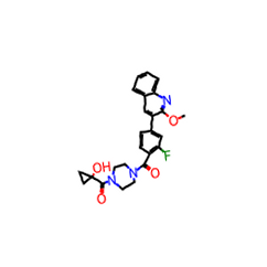 COc1nc2ccccc2cc1-c1ccc(C(=O)N2CCN(C(=O)C3(O)CC3)CC2)c(F)c1